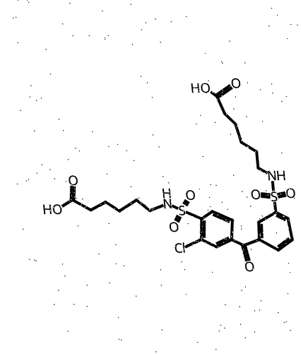 O=C(O)CCCCCNS(=O)(=O)c1cccc(C(=O)c2ccc(S(=O)(=O)NCCCCCC(=O)O)c(Cl)c2)c1